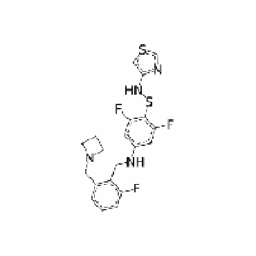 Fc1cccc(CN2CCC2)c1CNc1cc(F)c(SNc2cscn2)c(F)c1